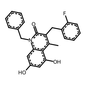 Cc1c(Cc2ccccc2F)c(=O)n(Cc2ccccc2)c2cc(O)cc(O)c12